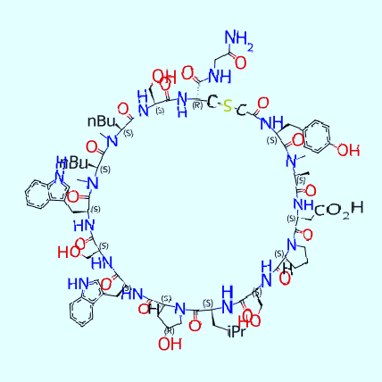 CCCC[C@H]1C(=O)N(C)[C@@H](CCCC)C(=O)N[C@@H](CO)C(=O)N[C@H](C(=O)NCC(N)=O)CSCC(=O)N[C@@H](Cc2ccc(O)cc2)C(=O)N(C)[C@@H](C)C(=O)N[C@@H](CC(=O)O)C(=O)N2CCC[C@H]2C(=O)N[C@@H](CO)C(=O)N[C@@H](CC(C)C)C(=O)N2C[C@H](O)C[C@H]2C(=O)N[C@@H](Cc2c[nH]c3ccccc23)C(=O)N[C@@H](CO)C(=O)N[C@@H](Cc2c[nH]c3ccccc23)C(=O)N1C